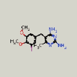 COc1cc(Cc2c(C)nc(N)nc2N)cc(I)c1OC